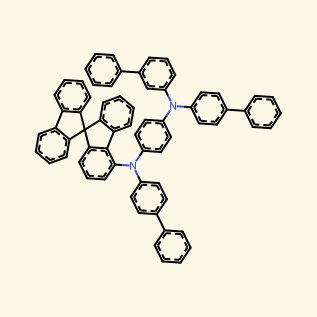 c1ccc(-c2ccc(N(c3ccc(N(c4ccc(-c5ccccc5)cc4)c4cccc5c4-c4ccccc4C54c5ccccc5-c5ccccc54)cc3)c3cccc(-c4ccccc4)c3)cc2)cc1